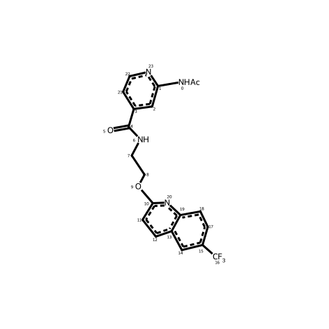 CC(=O)Nc1cc(C(=O)NCCOc2ccc3cc(C(F)(F)F)ccc3n2)ccn1